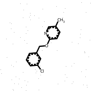 Cc1ccc(OCc2cccc(Cl)c2)nc1